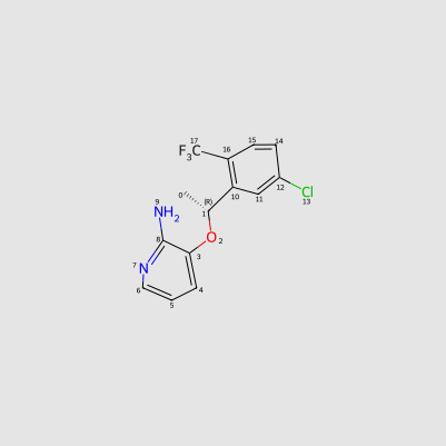 C[C@@H](Oc1cccnc1N)c1cc(Cl)ccc1C(F)(F)F